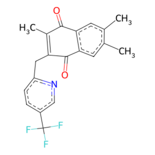 CC1=C(Cc2ccc(C(F)(F)F)cn2)C(=O)c2cc(C)c(C)cc2C1=O